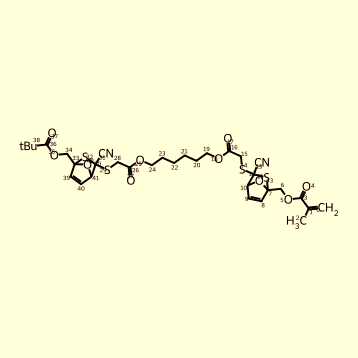 C=C(C)C(=O)OCC12C=CC(O1)C(C#N)(SCC(=O)OCCCCCCOC(=O)CSC1(C#N)SC3(COC(=O)C(C)(C)C)C=CC1O3)S2